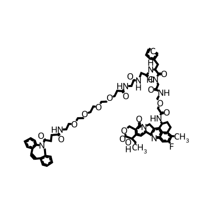 CC[C@]1(O)C(=O)OCc2c1cc1n(c2=O)Cc2c-1nc1cc(F)c(C)c3c1c2C(NC(=O)COCNC(=O)CNC(=O)C(Cc1ccccc1)NC(=O)CNC(=O)CNC(=O)CCOCCOCCOCCOCCNC(=O)CCC(=O)N1Cc2ccccc2C#Cc2ccccc21)CC3